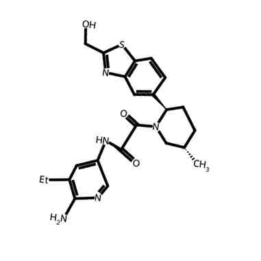 CCc1cc(NC(=O)C(=O)N2C[C@@H](C)CC[C@@H]2c2ccc3sc(CO)nc3c2)cnc1N